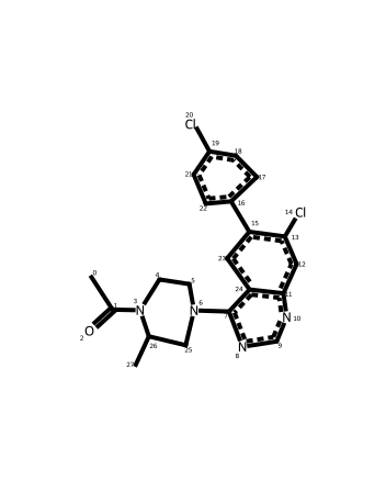 CC(=O)N1CCN(c2ncnc3cc(Cl)c(-c4ccc(Cl)cc4)cc23)CC1C